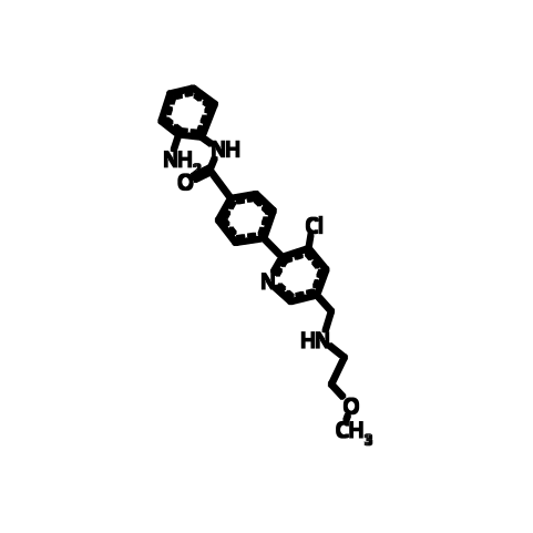 COCCNCc1cnc(-c2ccc(C(=O)Nc3ccccc3N)cc2)c(Cl)c1